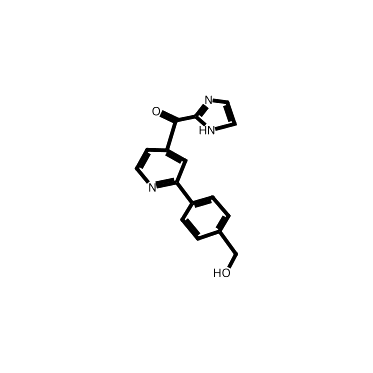 O=C(c1ccnc(-c2ccc(CO)cc2)c1)c1ncc[nH]1